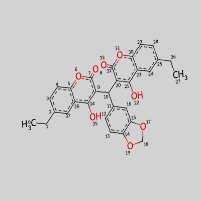 CCc1ccc2oc(=O)c(C(c3ccc4c(c3)OCO4)c3c(O)c4cc(CC)ccc4oc3=O)c(O)c2c1